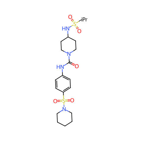 CC(C)S(=O)(=O)NC1CCN(C(=O)Nc2ccc(S(=O)(=O)N3CCCCC3)cc2)CC1